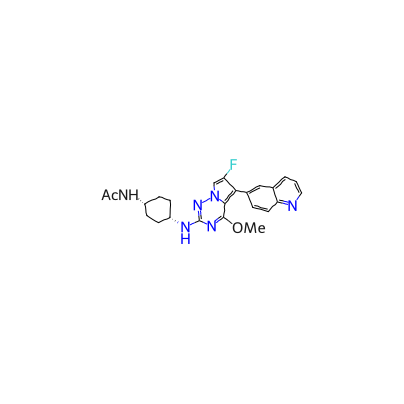 COc1nc(N[C@H]2CC[C@@H](NC(C)=O)CC2)nn2cc(F)c(-c3ccc4ncccc4c3)c12